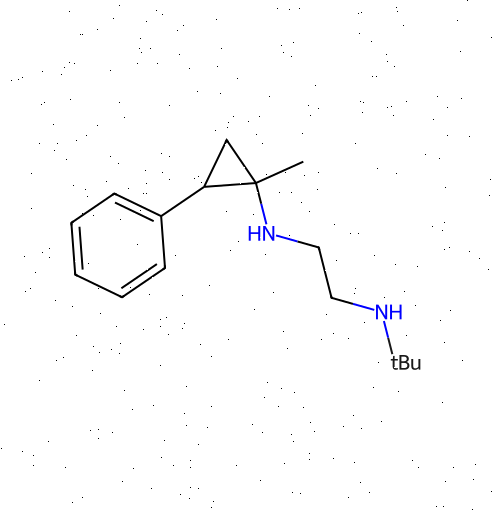 CC(C)(C)NCCNC1(C)CC1c1ccccc1